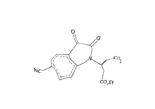 CCOC(=O)C(C)N1C(=O)C(=O)c2cc(C#N)ccc21